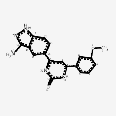 COc1cccc(-c2cc(-c3ccc4[nH]nc(N)c4c3)nc(=O)[nH]2)c1